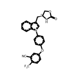 N#Cc1cc(Oc2ccc(-n3cc(C[C@H]4COC(=O)N4)c4ccccc43)cc2)ccc1C(F)(F)F